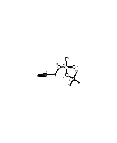 C#CCOP(=O)(F)O[Si](C)(C)C